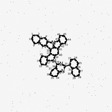 c1ccc2cc3c(cc2c1)c1c2c4ccccc4n(-c4nc(-c5cccc6ccccc56)nc5ccccc45)c2cc2c4ccccc4n3c21